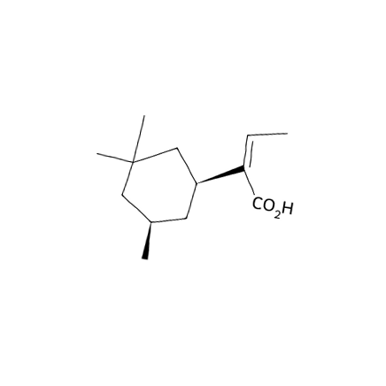 CC=C(C(=O)O)[C@H]1C[C@@H](C)CC(C)(C)C1